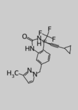 Cc1ccn(Cc2ccc3c(c2)NC(=O)N[C@]3(C#CC2CC2)C(F)(F)F)n1